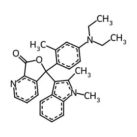 CCN(CC)c1ccc(C2(c3c(C)n(C)c4ccccc34)OC(=O)c3ncccc32)c(C)c1